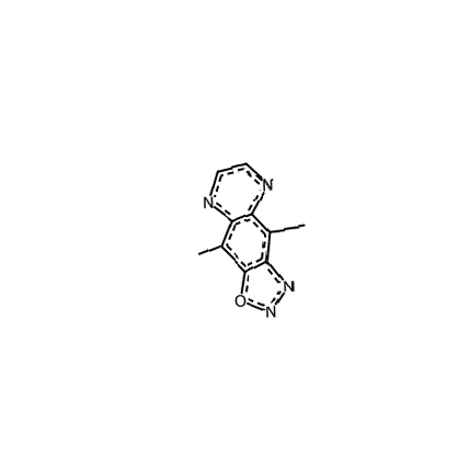 Cc1c2nccnc2c(C)c2onnc12